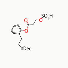 CCCCCCCCCCCCc1ccccc1OC(=O)CCOS(=O)(=O)O